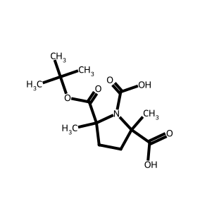 CC(C)(C)OC(=O)C1(C)CCC(C)(C(=O)O)N1C(=O)O